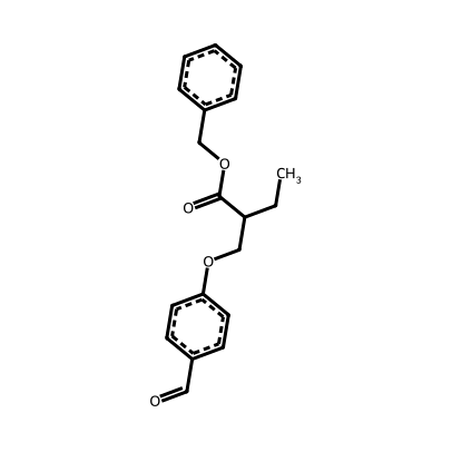 CCC(COc1ccc(C=O)cc1)C(=O)OCc1ccccc1